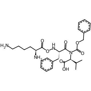 CC(C)[C@@H](C(=O)O)N(C(=O)OCc1ccccc1)C(=O)[C@H](Cc1ccccc1)NOC(=O)[C@@H](N)CCCCN